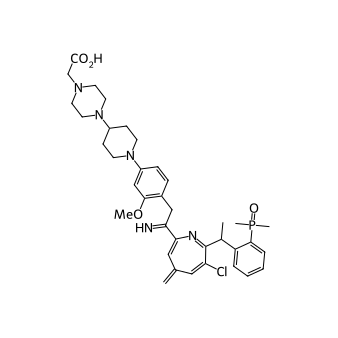 C=C1C=C(Cl)C(C(C)c2ccccc2P(C)(C)=O)=NC(C(=N)Cc2ccc(N3CCC(N4CCN(CC(=O)O)CC4)CC3)cc2OC)=C1